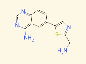 NCc1ncc(-c2ccc3ncnc(N)c3c2)s1